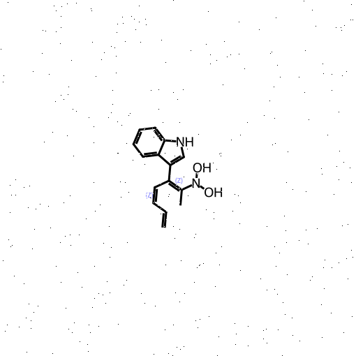 C=C/C=C\C(=C(/C)N(O)O)c1c[nH]c2ccccc12